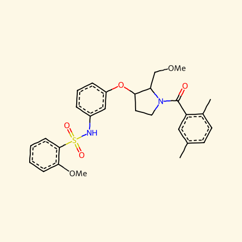 COCC1C(Oc2cccc(NS(=O)(=O)c3ccccc3OC)c2)CCN1C(=O)c1cc(C)ccc1C